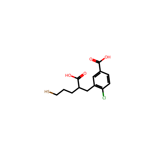 O=C(O)c1ccc(Cl)c(CC(CCCS)C(=O)O)c1